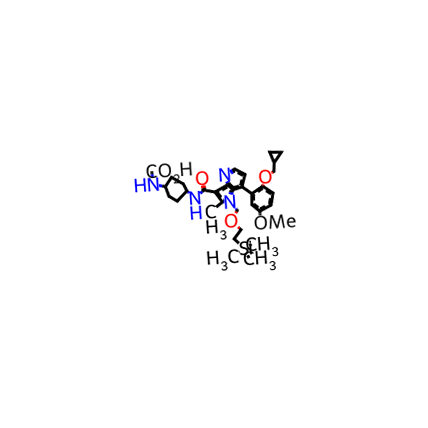 COc1ccc(OCC2CC2)c(-c2ccnc3c(C(=O)NC4CCC(NC(=O)O)CC4)c(C)n(COCC[Si](C)(C)C)c23)c1